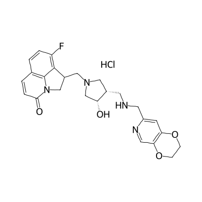 Cl.O=c1ccc2ccc(F)c3c2n1CC3CN1C[C@H](CNCc2cc3c(cn2)OCCO3)[C@H](O)C1